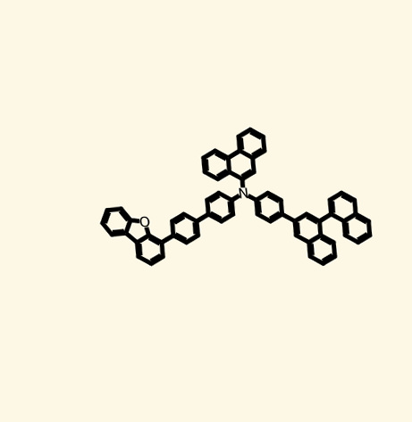 c1ccc2c(-c3cc(-c4ccc(N(c5ccc(-c6ccc(-c7cccc8c7oc7ccccc78)cc6)cc5)c5cc6ccccc6c6ccccc56)cc4)cc4ccccc34)cccc2c1